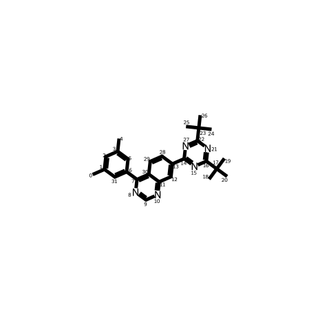 Cc1cc(C)cc(-c2ncnc3cc(-c4nc(C(C)(C)C)nc(C(C)(C)C)n4)ccc23)c1